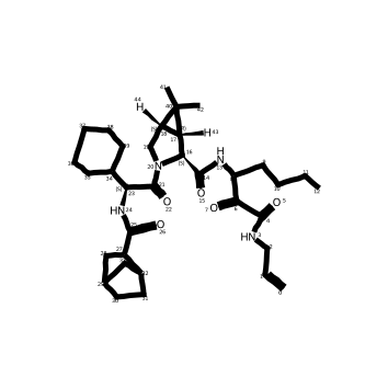 C=CCNC(=O)C(=O)C(CCCC)NC(=O)[C@@H]1[C@@H]2[C@H](CN1C(=O)[C@@H](NC(=O)C1CC3CCC1C3)C1CCCCC1)C2(C)C